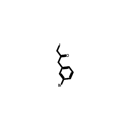 O=C(CI)Cc1cccc(Br)c1